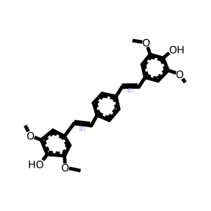 COc1cc(/C=C/c2ccc(/C=C/c3cc(OC)c(O)c(OC)c3)cc2)cc(OC)c1O